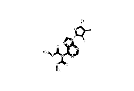 CC[C@H]1O[C@@H](n2cnc3c(N(C(=O)OC(C)(C)C)C(=O)OC(C)(C)C)ncnc32)[C@H](F)[C@@H]1C